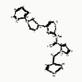 O=C(Nc1nc(C2CCN(c3ccccn3)C2)cs1)c1cccn1Cc1ccncc1